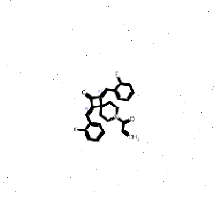 C=CC(=O)N1CCC2(CC1)/C(=C\c1ccccc1F)C(=O)/C2=C/c1ccccc1F